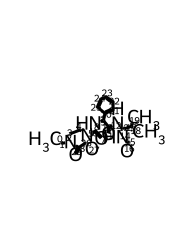 CCN1CCN(C(=O)NC(C(=O)NC(NC=O)[C](C)C)c2ccccc2)C(=O)C1=O